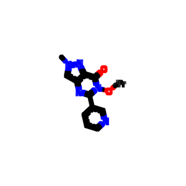 CC(C)On1c(-c2cccnc2)nc2cn(C)nc2c1=O